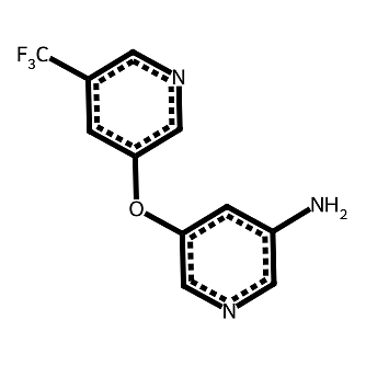 Nc1cncc(Oc2cncc(C(F)(F)F)c2)c1